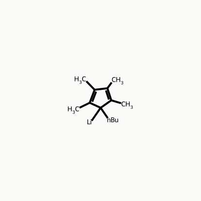 [Li][C]1(CCCC)C(C)=C(C)C(C)=C1C